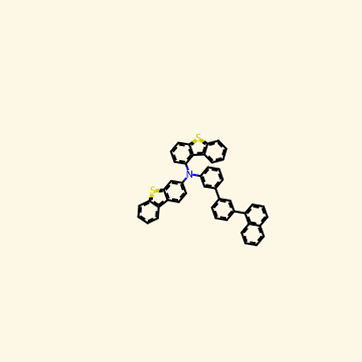 c1cc(-c2cccc(N(c3ccc4c(c3)sc3ccccc34)c3cccc4sc5ccccc5c34)c2)cc(-c2cccc3ccccc23)c1